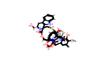 COC1=C(O)C2(C)C(C=C1C)CC1(O)CN(C)[C@@H]2[C@@H]2[C@@H]3SC[C@]4(N[C@H](CO)Cc5c4[nH]c4ccccc54)C(=O)OCC(c4c5c(c(C)c(OC(C)=O)c43)OCO5)N21